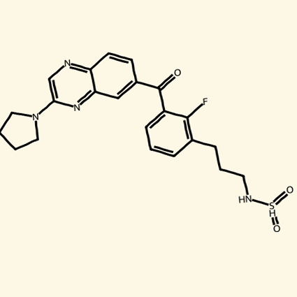 O=C(c1ccc2ncc(N3CCCC3)nc2c1)c1cccc(CCCN[SH](=O)=O)c1F